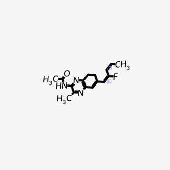 C/C=C\C(F)=C/C1=Cc2nc(C)c(NC(C)=O)nc2CC1